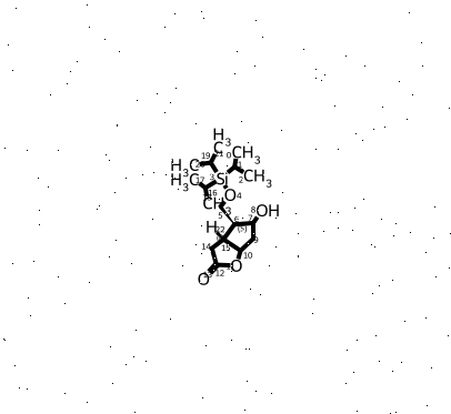 CC(C)[Si](OC[C@H]1C(O)CC2OC(=O)C[C@@H]21)(C(C)C)C(C)C